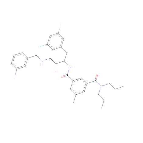 CCCN(CCC)C(=O)c1cc(C)cc(C(=O)NC(Cc2cc(F)cc(F)c2)[C@H](O)CNCc2cccc(I)c2)c1